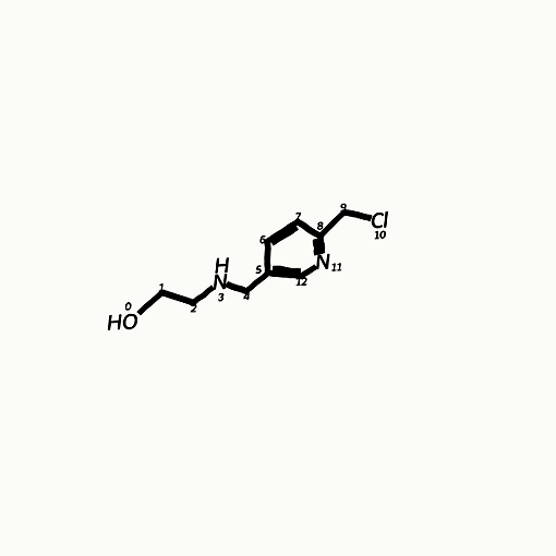 OCCNCc1ccc(CCl)nc1